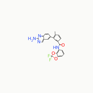 Cc1ccc(C(=O)Nc2cccc3c2OC(F)(F)O3)cc1-c1ccc2nc(N)ncc2c1